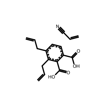 C=CC#N.C=CCc1ccc(C(=O)O)c(C(=O)O)c1CC=C